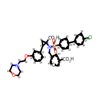 O=C(O)c1cccc(CN(C2(C(=O)O)CC2c2cccc(OCCN3CCOCC3)c2)S(=O)(=O)c2ccc(-c3ccc(Cl)cc3)cc2)c1